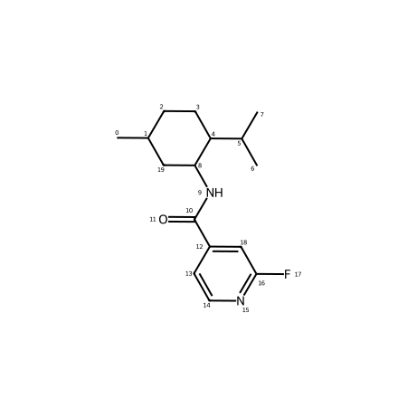 CC1CCC(C(C)C)C(NC(=O)c2ccnc(F)c2)C1